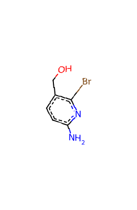 Nc1ccc(CO)c(Br)n1